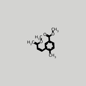 C=C(/C=C\c1cc(C(=O)OC)ccc1C)OC